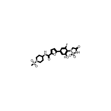 CS(=O)(=O)N1CCC(NC(=O)c2ccc(-c3cc(O)c(N4CC(=O)NS4(=O)=O)c(F)c3)o2)CC1